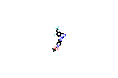 CC(C)(C)OC(=O)N1CCC2(CC1)CN(N1CN=Cc3cc(CC(F)(F)F)c(F)cc31)C2